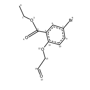 CCOC(=O)c1cc(Br)ccc1OCC=O